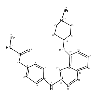 CC(C)NC(=O)Cc1ccc(Nc2ncc3cccc(OC4CCN(C(C)C)CC4)c3n2)cc1